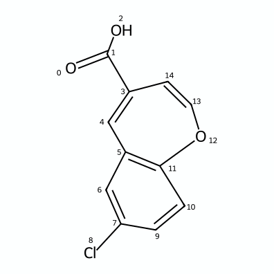 O=C(O)C1=Cc2cc(Cl)ccc2OC=C1